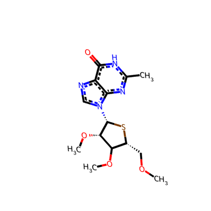 COC[C@H]1S[C@@H](n2cnc3c(=O)[nH]c(C)nc32)[C@@H](OC)C1OC